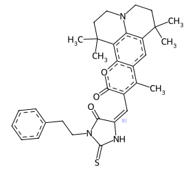 Cc1c(/C=C2/NC(=S)N(CCc3ccccc3)C2=O)c(=O)oc2c3c4c(cc12)C(C)(C)CCN4CCC3(C)C